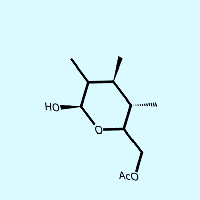 CC(=O)OCC1O[C@@H](O)C(C)[C@@H](C)[C@@H]1C